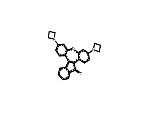 O=c1c2c3ccc(N4CCC4)cc3oc3cc(N4CCC4)ccc3c=2c2ccccc12